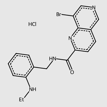 CCNc1ccccc1CNC(=O)c1ccc2cncc(Br)c2n1.Cl